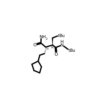 CC(C)(C)C[C@@H](C(=O)NC(C)(C)C)[C@H](CCC1CCCC1)C(N)=O